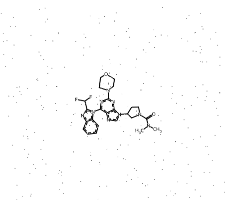 CN(C)C(=O)N1CCC(n2cnc3c(-n4c(C(F)F)nc5ccccc54)nc(N4CCOCC4)nc32)C1